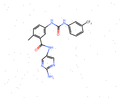 Cc1ccc(NC(=O)Nc2cccc(C(F)(F)F)c2)cc1C(=O)Nc1cnc(N)nc1